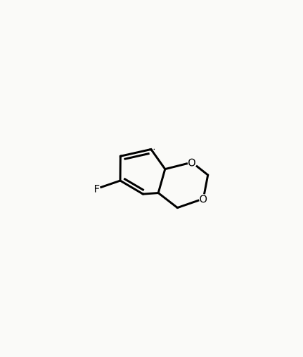 FC1=CC2COCOC2[C]=C1